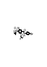 O=C(Nc1ccc(Br)cc1)c1cc([N+](=O)[O-])c(NC2CC2)cc1OCC(F)F